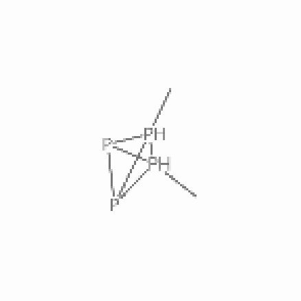 C[PH]12P3P1[PH]32C